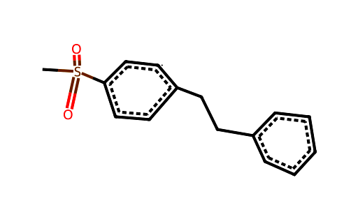 CS(=O)(=O)c1c[c]c(CCc2ccccc2)cc1